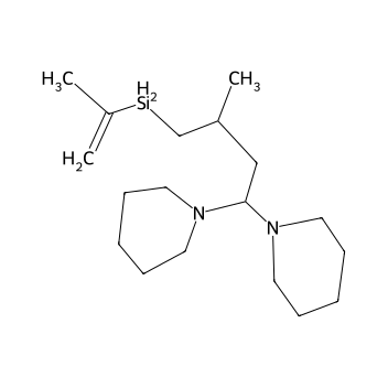 C=C(C)[SiH2]CC(C)CC(N1CCCCC1)N1CCCCC1